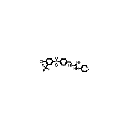 N=C(NCc1ccc(S(=O)(=O)c2ccc(Cl)c(C(F)(F)F)c2)cc1)Nc1ccncc1